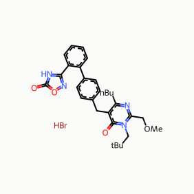 Br.CCCCc1nc(COC)n(CC(C)(C)C)c(=O)c1Cc1ccc(-c2ccccc2-c2noc(=O)[nH]2)cc1